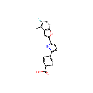 Cc1c(F)ccc2oc(-c3ccc(-c4ccc(C(=O)O)cc4)[nH]3)cc12